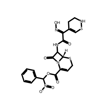 O=C(NC1C(=O)N2C(C(=O)OC(c3ccccc3)[N+](=O)[O-])=CCS[C@@H]12)C(=NO)C1=CSNCC1